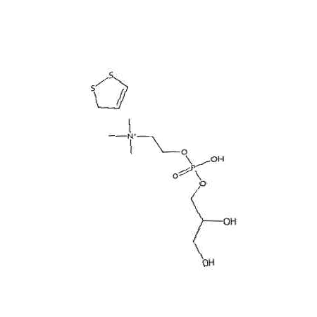 C1=CSSC1.C[N+](C)(C)CCOP(=O)(O)OCC(O)CO